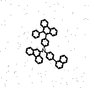 c1ccc(-c2c(-c3ccc(N(c4ccc(-c5cccc6ccccc56)cc4)c4cc5ccccc5c5ccccc45)cc3)c3ccccc3c3ccccc23)cc1